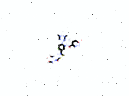 CC1CN(c2cc(F)c(-c3csc(C(=O)N4CCOCC4)n3)cc2NC(=O)c2c[nH]c(=O)cc2C(F)(F)F)CC(C)N1C